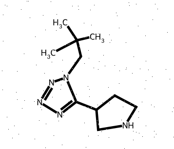 CC(C)(C)Cn1nnnc1C1CCNC1